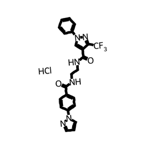 Cl.O=C(NCCNC(=O)c1cn(-c2ccccc2)nc1C(F)(F)F)c1ccc(-n2cccn2)cc1